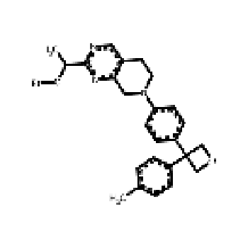 CCOC(C)c1ncc2c(n1)CN(c1ccc(C3(c4ccc(C)cc4)COC3)cc1)CC2